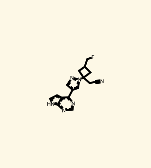 N#CCC1(n2cc(-c3ncnc4[nH]ccc34)cn2)CC(CF)C1